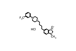 CN1C[S+]([O-])c2cc(CCCCN3CCN(c4cccc(C(F)(F)F)c4)CC3)ccc21.Cl